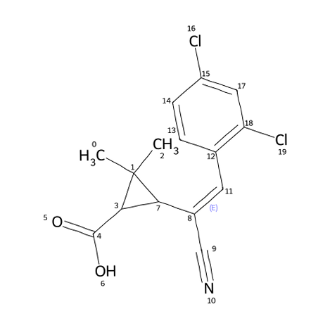 CC1(C)C(C(=O)O)C1/C(C#N)=C\c1ccc(Cl)cc1Cl